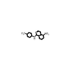 O=[N+]([O-])c1cccc2c(Nc3ccc(C(F)(F)F)cc3)nccc12